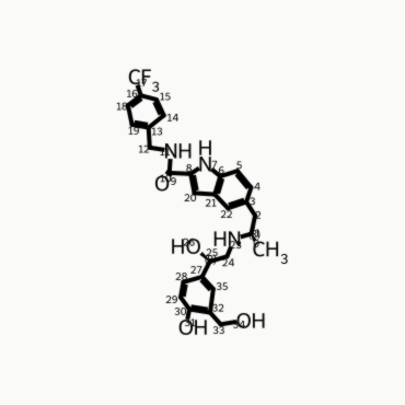 C[C@H](Cc1ccc2[nH]c(C(=O)NCc3ccc(C(F)(F)F)cc3)cc2c1)NC[C@H](O)c1ccc(O)c(CO)c1